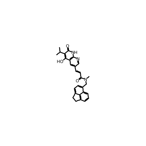 CC(C)c1c(O)c2cc(C=CC(=O)N(C)Cc3ccc4c5c(cccc35)CC4)cnc2[nH]c1=O